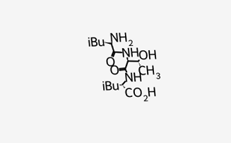 CC[C@H](C)[C@H](N)C(=O)N[C@H](C(=O)N[C@H](C(=O)O)[C@@H](C)CC)[C@@H](C)O